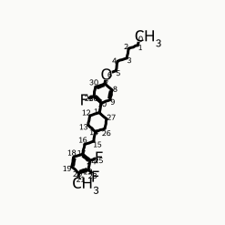 CCCCCCOc1ccc(C2CCC(CCc3ccc(C)c(F)c3F)CC2)c(F)c1